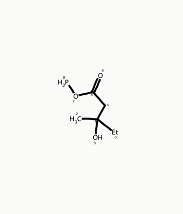 CCC(C)(O)CC(=O)OP